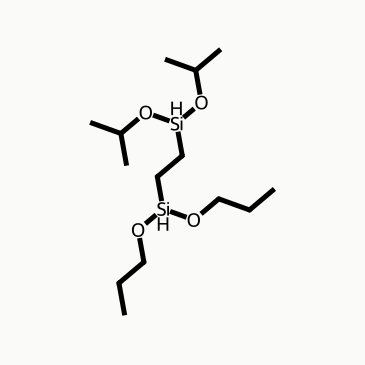 CCCO[SiH](CC[SiH](OC(C)C)OC(C)C)OCCC